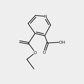 C=C(OCC)c1ccncc1C(=O)O